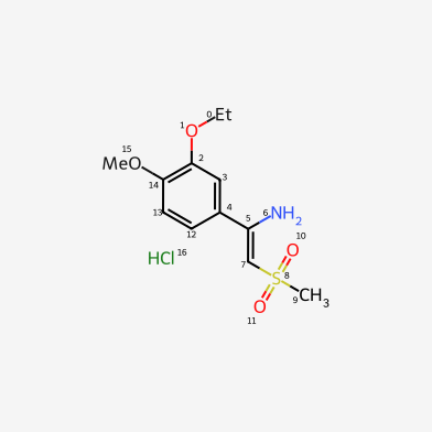 CCOc1cc(C(N)=CS(C)(=O)=O)ccc1OC.Cl